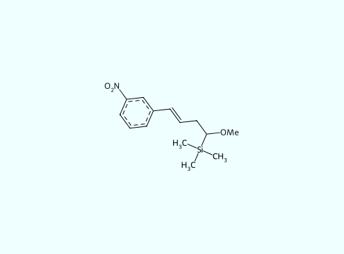 COC(CC=Cc1cccc([N+](=O)[O-])c1)[Si](C)(C)C